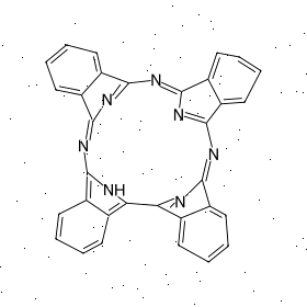 c1ccc2c(c1)C1=NC3=NC(=Nc4[nH]c(c5ccccc45)C4=NC(=NC2=N1)c1ccccc14)c1ccccc13